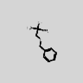 BC(B)(O)COCc1ccccc1